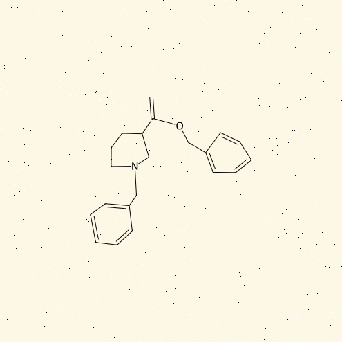 C=C(OCc1ccccc1)C1CCCN(Cc2ccccc2)C1